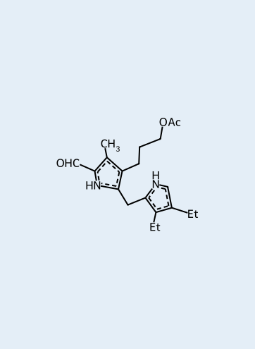 CCc1c[nH]c(Cc2[nH]c(C=O)c(C)c2CCCOC(C)=O)c1CC